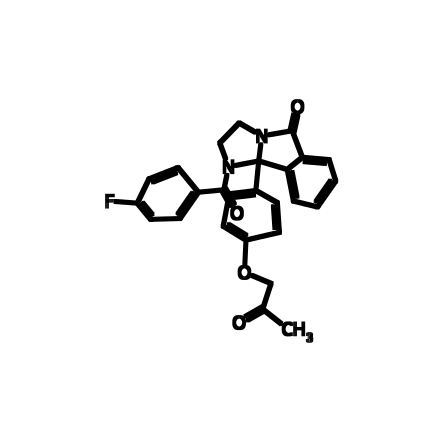 CC(=O)COc1ccc(C23c4ccccc4C(=O)N2CCN3C(=O)c2ccc(F)cc2)cc1